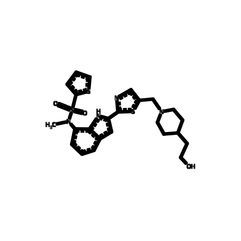 CN(c1cccc2cc(-c3ncc(CN4CCC(CCO)CC4)s3)[nH]c12)S(=O)(=O)c1cccs1